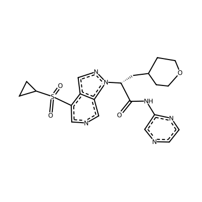 O=C(Nc1cnccn1)[C@@H](CC1CCOCC1)n1ncc2c(S(=O)(=O)C3CC3)cncc21